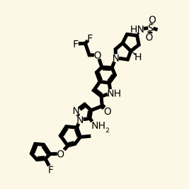 Cc1cc(Oc2ccccc2F)ccc1-n1ncc(C(=O)c2cc3cc(OCC(F)F)c(N4CC5C[C@@H](NS(C)(=O)=O)C[C@H]5C4)cc3[nH]2)c1N